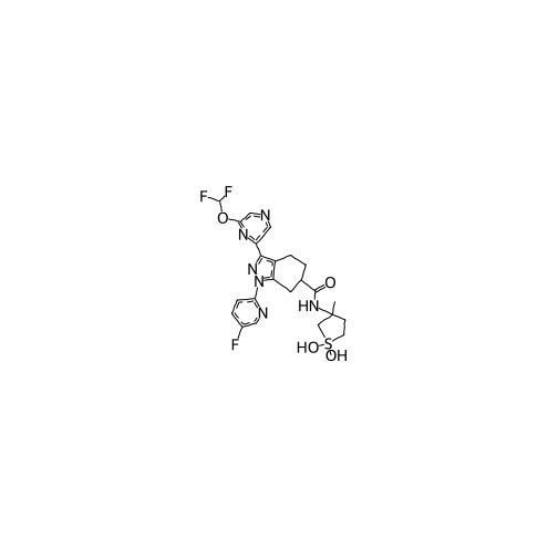 CC1(NC(=O)C2CCc3c(-c4cncc(OC(F)F)n4)nn(-c4ccc(F)cn4)c3C2)CCS(O)(O)C1